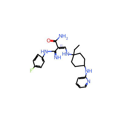 CCC1(N/C=C(\C(=N)Nc2ccc(F)cc2)C(N)=O)CCC(Nc2ccccn2)CC1